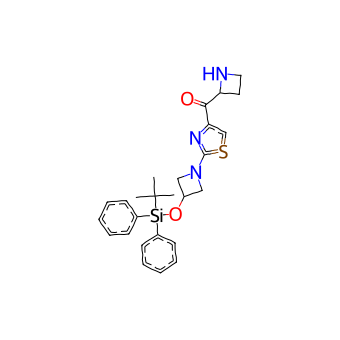 CC(C)(C)[Si](OC1CN(c2nc(C(=O)C3CCN3)cs2)C1)(c1ccccc1)c1ccccc1